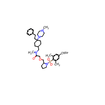 COc1cc(C)c(S(=O)(=O)N2CCCC2COCC(=O)N(C)CC2CCC(CCc3ccccc3)(N3CCN(C)CC3)CC2)c(C)c1